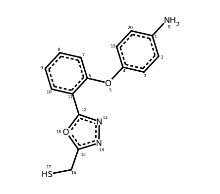 Nc1ccc(Oc2ccccc2-c2nnc(CS)o2)cc1